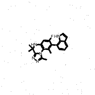 Cc1c(-c2cccc3cc[nH]c23)c(F)cc2c1-n1c(C)nnc1C(C)(C)N2